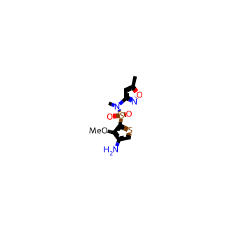 COc1c(N)csc1S(=O)(=O)N(C)c1cc(C)on1